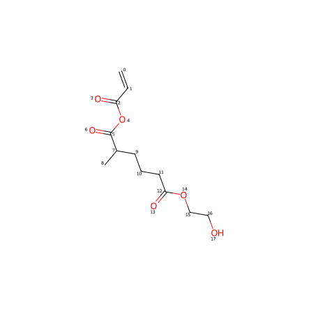 C=CC(=O)OC(=O)C(C)CCCC(=O)OCCO